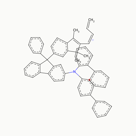 C=C/C=C\C1=C(C)c2ccc(C3(c4ccccc4)c4ccccc4-c4ccc(N(c5ccc(-c6ccccc6)cc5)c5ccccc5-c5ccccc5)cc43)cc2C1(C)C